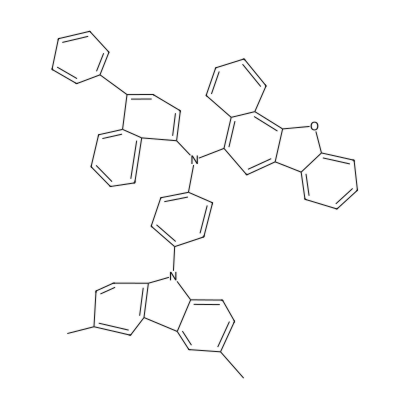 Cc1ccc2c(c1)c1cc(C)ccc1n2-c1ccc(N(c2ccc(-c3ccccc3)c3ccccc23)c2cc3c4ccccc4oc3c3ccccc23)cc1